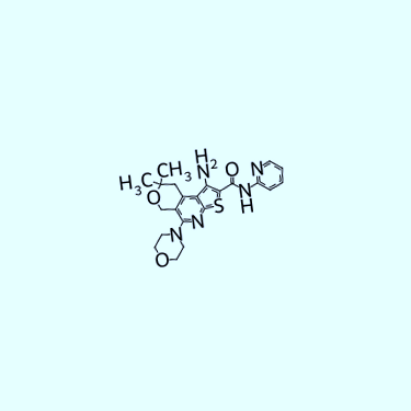 CC1(C)Cc2c(c(N3CCOCC3)nc3sc(C(=O)Nc4ccccn4)c(N)c23)CO1